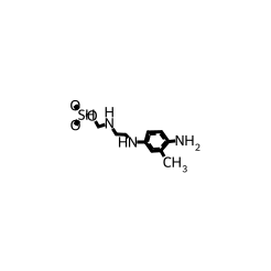 Cc1cc(NCCNCO[SH](=O)=O)ccc1N